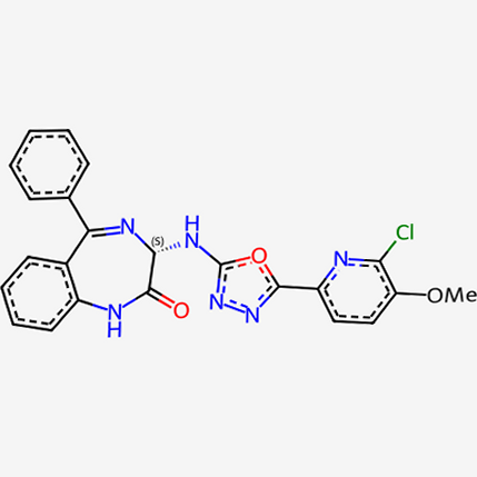 COc1ccc(-c2nnc(N[C@H]3N=C(c4ccccc4)c4ccccc4NC3=O)o2)nc1Cl